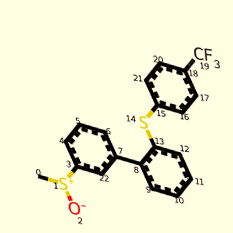 C[S+]([O-])c1cccc(-c2ccccc2Sc2ccc(C(F)(F)F)cc2)c1